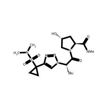 CNC(=O)[C@@H]1C[C@@H](O)CN1C(=O)[C@@H](n1cc(C2(S(=O)(=O)N(C)C)CC2)nn1)C(C)(C)C